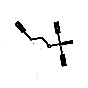 C#CCCOP(=O)(C#C)C#C